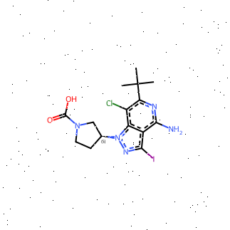 CC(C)(C)c1nc(N)c2c(I)nn([C@H]3CCN(C(=O)O)C3)c2c1Cl